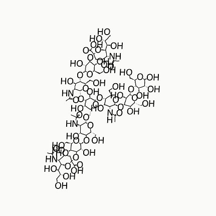 CC(=O)N[C@H]1[C@H](OC[C@H]2O[C@@H](O[C@H]3[C@H](O)[C@@H](NC(C)=O)[C@H](O[C@H]4[C@@H](O)[C@@H](CO)O[C@@H](O[C@H]5[C@H](O)[C@@H](O)[C@H](O)O[C@@H]5CO)[C@@H]4O)O[C@@H]3CO)[C@H](O)[C@@H](O[C@H]3O[C@H](CO)[C@@H](O[C@@H]4O[C@H](CO)[C@H](O)[C@H](O[C@]5(C(=O)O)C[C@H](O)[C@@H](NC(C)=O)[C@H]([C@H](O)[C@H](O)CO)O5)[C@H]4O)[C@H](O)[C@H]3NC(C)=O)[C@H]2O)O[C@H](CO)[C@@H](O[C@@H]2O[C@H](CO)[C@H](O)[C@H](O[C@]3(C(=O)O)C[C@H](O)[C@@H](NC(C)=O)[C@H]([C@H](O)[C@H](O)CO)O3)[C@H]2O)[C@@H]1O